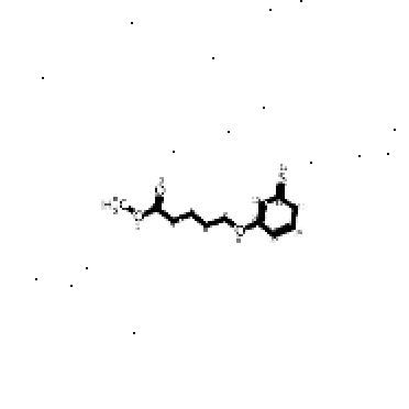 COC(=O)CCCCOC1=CC(=S)CC=C1